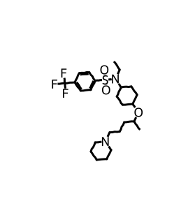 CCN(C1CCC(OC(C)CCCN2CCCCC2)CC1)S(=O)(=O)c1ccc(C(F)(F)F)cc1